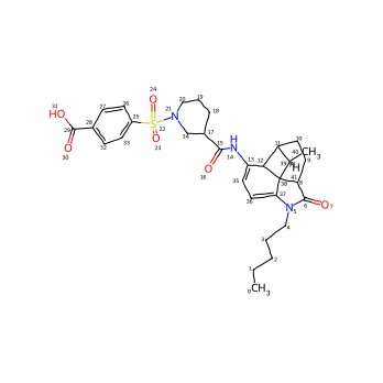 CCCCCN1C(=O)C2CCC3C4C(NC(=O)C5CCCN(S(=O)(=O)c6ccc(C(=O)O)cc6)C5)=CC=C1C24[C@@H]3C